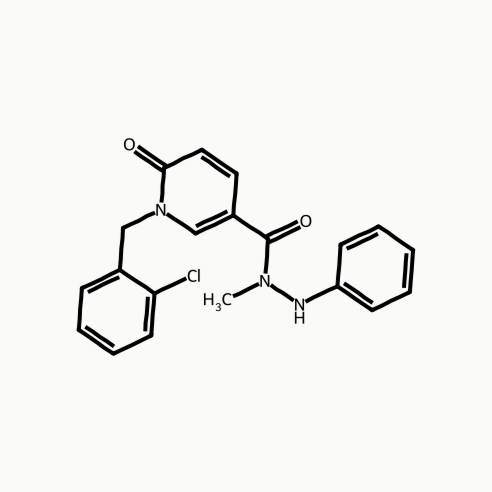 CN(Nc1ccccc1)C(=O)c1ccc(=O)n(Cc2ccccc2Cl)c1